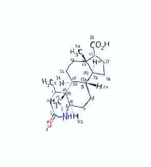 CC1CC(=O)N[C@@H]2CC[C@@H]3[C@H](CC[C@]4(C)C(C(=O)O)CC[C@@H]34)[C@@]12C